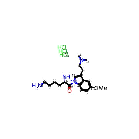 COc1ccc2c(c1)c(CCN(C)C)cn2C(=O)[C@@H](N)CCCCN.Cl.Cl.Cl